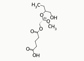 CCC(CO)O[C@@H](COC(=O)CCCC(=O)O)OC